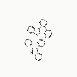 c1ccc(-c2nc3ccccc3n2-c2ccc(-c3cccc(-c4ccccc4-n4cnc5ccccc54)c3)cc2)cc1